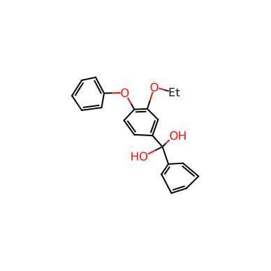 CCOc1cc(C(O)(O)c2ccccc2)ccc1Oc1ccccc1